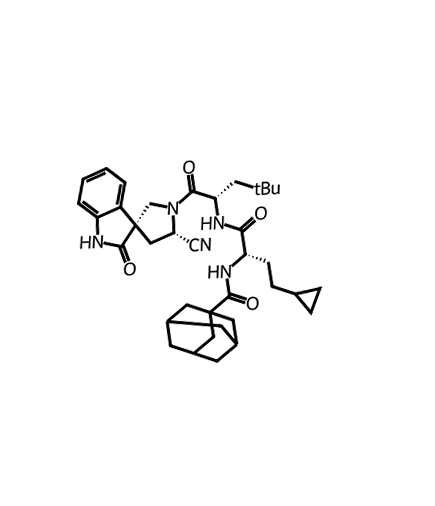 CC(C)(C)C[C@H](NC(=O)[C@H](CCC1CC1)NC(=O)C12CC3CC(CC(C3)C1)C2)C(=O)N1C[C@]2(C[C@H]1C#N)C(=O)Nc1ccccc12